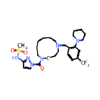 CS(=O)(=O)Nc1ccn(C(=O)N2CCCCCCN(Cc3ccc(C(F)(F)F)cc3N3CCCCC3)CCC2)n1